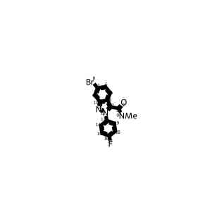 CNC(=O)c1c2ccc(Br)cc2nn1-c1ccc(F)cc1